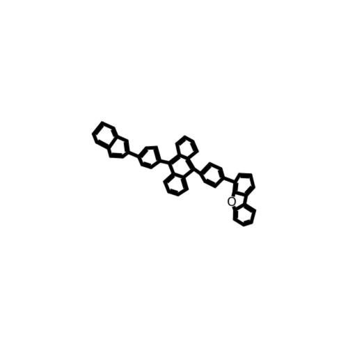 c1ccc2cc(-c3ccc(-c4c5ccccc5c(-c5ccc(-c6cccc7c6oc6ccccc67)cc5)c5ccccc45)cc3)ccc2c1